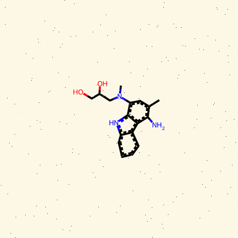 Cc1cc(N(C)CC(O)CO)c2[nH]c3ccccc3c2c1N